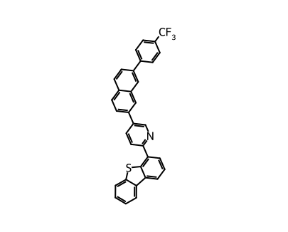 FC(F)(F)c1ccc(-c2ccc3ccc(-c4ccc(-c5cccc6c5sc5ccccc56)nc4)cc3c2)cc1